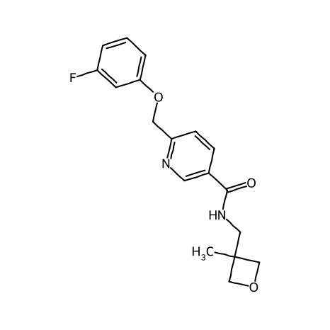 CC1(CNC(=O)c2ccc(COc3cccc(F)c3)nc2)COC1